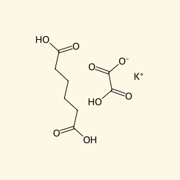 O=C(O)CCCCC(=O)O.O=C([O-])C(=O)O.[K+]